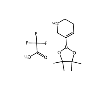 CC1(C)OB(C2=CCCNC2)OC1(C)C.O=C(O)C(F)(F)F